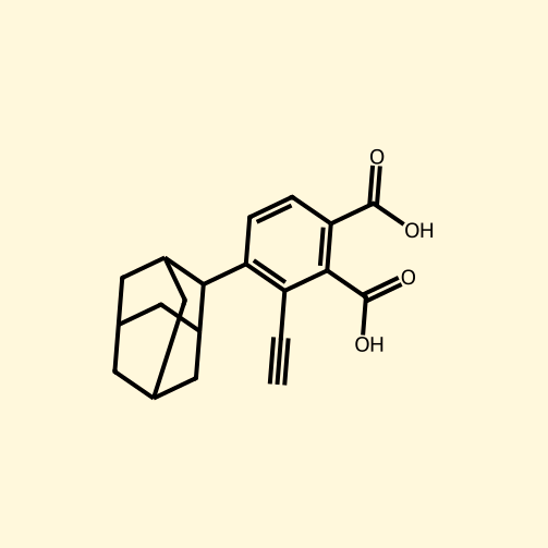 C#Cc1c(C2C3CC4CC(C3)CC2C4)ccc(C(=O)O)c1C(=O)O